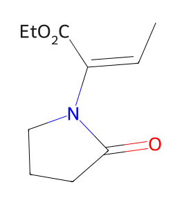 CC=C(C(=O)OCC)N1CCCC1=O